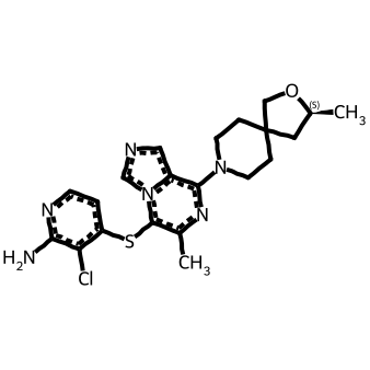 Cc1nc(N2CCC3(CC2)CO[C@@H](C)C3)c2cncn2c1Sc1ccnc(N)c1Cl